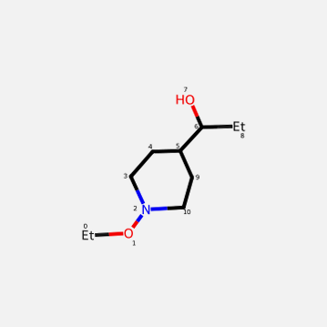 CCON1CCC(C(O)CC)CC1